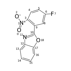 O=[N+]([O-])c1ccc(F)cc1-c1nc2ccccc2o1